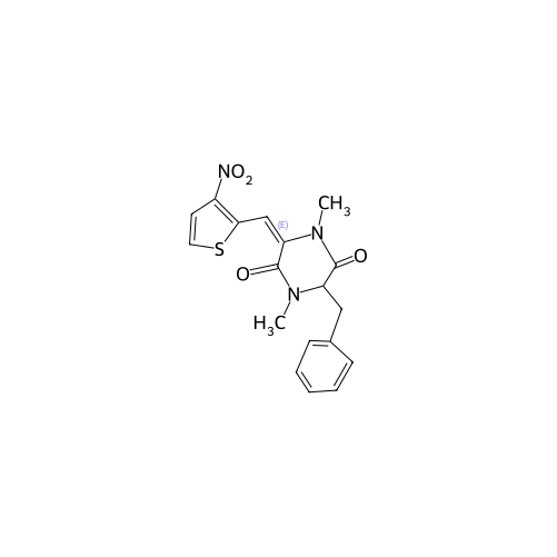 CN1C(=O)C(Cc2ccccc2)N(C)C(=O)/C1=C\c1sccc1[N+](=O)[O-]